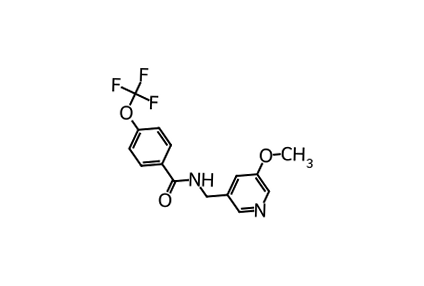 COc1cncc(CNC(=O)c2ccc(OC(F)(F)F)cc2)c1